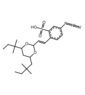 CCC(C)(C)CC1CC(C(C)(C)CC)OC(C=Cc2ccc(N=[N+]=[N-])cc2S(=O)(=O)O)O1